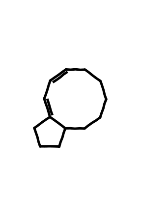 C1=CCCCCCC2CCCC2=C1